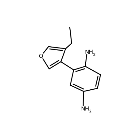 CCc1cocc1-c1cc(N)ccc1N